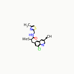 C#Cc1cnc2c(Cl)cc(CC(SC)C(=O)NCc3nc(C)cs3)cc2c1